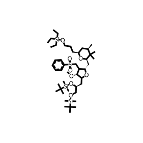 CC[Si](CC)(CC)OCCC[C@H]1C[C@@H](C)C(C)(C)[C@@H](C[C@@H]2OC(C[C@@H](CO[Si](C)(C)C(C)(C)C)O[Si](C)(C)C(C)(C)C)[C@H](OC)C2CS(=O)(=O)c2ccccc2)O1